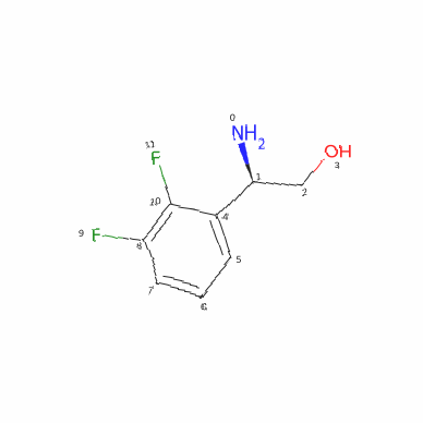 N[C@@H](CO)c1cccc(F)c1F